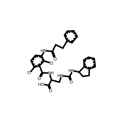 O=C(CCc1ccccc1)Nc1ccc(Cl)c(C(=O)NC(CNC(=O)NC2CCc3ccccc32)C(=O)O)c1Cl